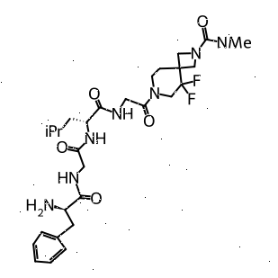 CNC(=O)N1CC2(CCN(C(=O)CNC(=O)[C@@H](CC(C)C)NC(=O)CNC(=O)[C@H](N)Cc3ccccc3)CC2(F)F)C1